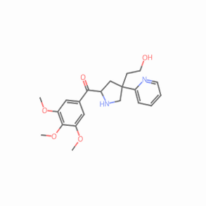 COc1cc(C(=O)C2CC(CCO)(c3ccccn3)CN2)cc(OC)c1OC